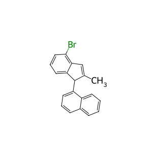 CC1=Cc2c(Br)cccc2C1c1cccc2ccccc12